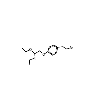 CCOC(COc1ccc(CCBr)cc1)OCC